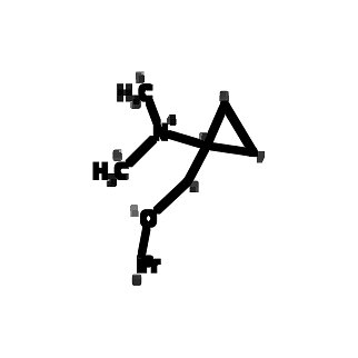 CC(C)OCC1(N(C)C)CC1